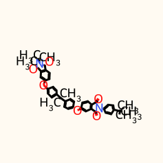 CC(C)(C)c1ccc(N2C(=O)c3ccc(Oc4ccc(C(C)(C)c5ccc(Oc6ccc7c(c6)C(=O)N(C(C)(C)C)C7=O)cc5)cc4)cc3C2=O)cc1